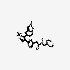 Cn1cc2cc(-c3c(-c4nc(CC(=O)NCC5CCOCC5)cs4)cnn3C(C)(C)C)ccc2n1